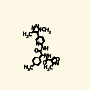 Cc1nocc1C(=O)N[C@H](C(=O)Nc1ccc(-c2c(C)nnn2C)cn1)[C@H]1CC[C@H](C)CC1